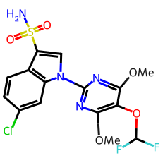 COc1nc(-n2cc(S(N)(=O)=O)c3ccc(Cl)cc32)nc(OC)c1OC(F)F